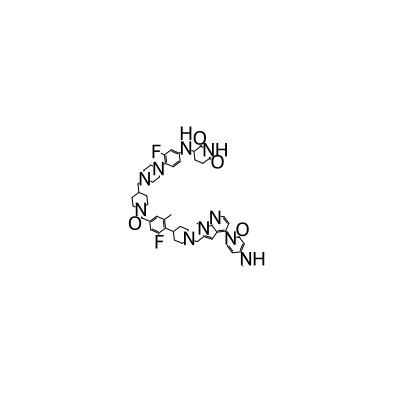 CNc1ccn(-c2ccnc3c2cc(CN2CCC(c4c(C)cc(C(=O)N5CCC(CN6CCN(c7ccc(NC8CCC(=O)NC8=O)cc7F)CC6)CC5)cc4F)CC2)n3C)c(=O)c1